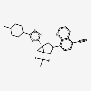 CN1CCC(c2nnc([C@]34CN(c5ccc(C#N)c6nccnc56)C[C@@]3(C(F)(F)F)C4)o2)CC1